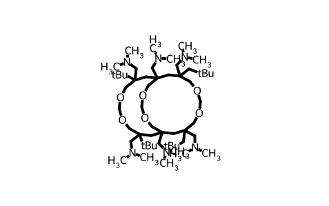 CN(C)CC1(CC(C)(C)C)COCOCC(CN(C)C)(CC(C)(C)C)CC2(CN(C)C)COCOCC(CN(C)C)(C1)CC(CN(C)C)(C(C)(C)C)COCOCC(CN(C)C)(C(C)(C)C)C2